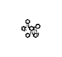 c1ccc(N(c2cc(N(c3ccccc3)c3cccnc3)c3[nH]c4ccccc4c3c2)c2ccccn2)cc1